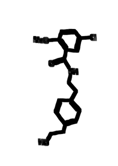 COc1ccc(Cl)cc1C(=O)NCCc1ccc(CCO)cc1